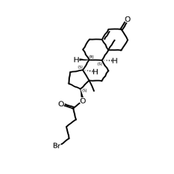 CC12CCC(=O)C=C1CC[C@@H]1[C@@H]2CCC2(C)[C@@H](OC(=O)CCCBr)CC[C@@H]12